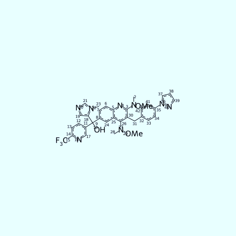 CON(C)c1nc2ccc(C(O)(c3ccc(C(F)(F)F)nc3)c3cncn3C)cc2c(N(C)OC)c1Cc1ccc(-n2cccn2)cc1